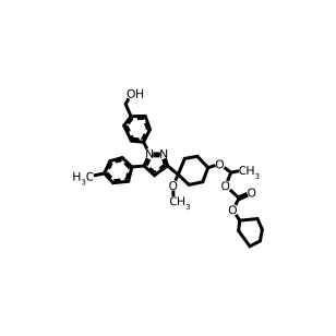 COC1(c2cc(-c3ccc(C)cc3)n(-c3ccc(CO)cc3)n2)CCC(OC(C)OC(=O)OC2CCCCC2)CC1